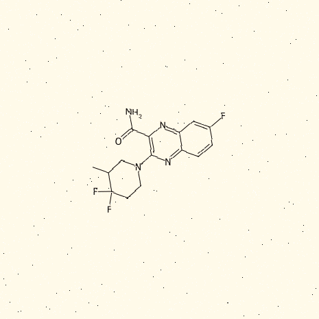 CC1CN(c2nc3ccc(F)cc3nc2C(N)=O)CCC1(F)F